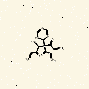 C=CC(=O)C(CCCC)C(C(=O)C=C)(C(=O)C=C)C1N=CN=CN1